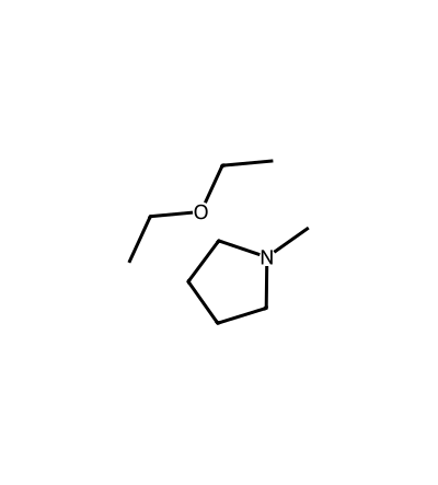 CCOCC.CN1CCCC1